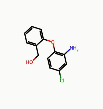 Nc1cc(Cl)ccc1Oc1ccccc1CO